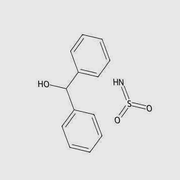 N=S(=O)=O.OC(c1ccccc1)c1ccccc1